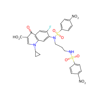 O=C(O)c1cn(C2CC2)c2cc(N(CCCNS(=O)(=O)c3ccc([N+](=O)[O-])cc3)S(=O)(=O)c3ccc([N+](=O)[O-])cc3)c(F)cc2c1=O